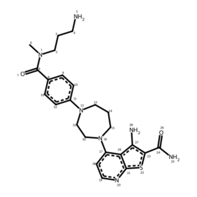 CN(CCCN)C(=O)c1ccc(N2CCCN(c3ccnc4sc(C(N)=O)c(N)c34)CC2)cc1